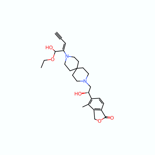 C#C/C=C(\C(O)OCC)N1CCC2(CCN(C[C@H](O)c3ccc4c(c3C)COC4=O)CC2)CC1